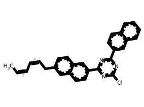 C/C=C\C=C/Cc1ccc2cc(-c3nc(Cl)nc(-c4ccc5ccccc5c4)n3)ccc2c1